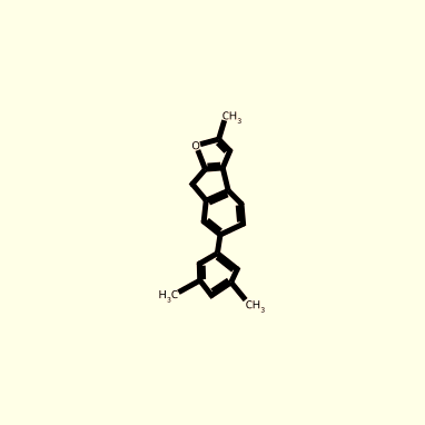 Cc1cc(C)cc(-c2ccc3c(c2)Cc2oc(C)cc2-3)c1